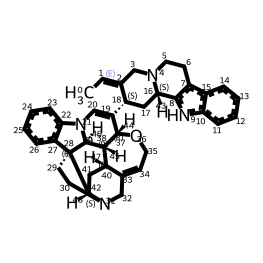 C/C=C1/CN2CCc3c([nH]c4ccccc34)[C@@H]2C[C@@H]1C1=CN2c3ccccc3[C@@]34CCN5CC6=CCO[C@@H]1[C@@H]([C@H]23)[C@H]6C[C@H]54